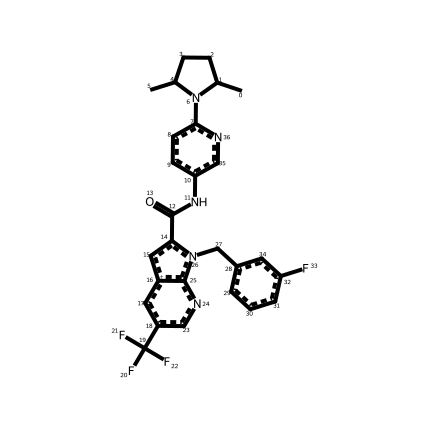 CC1CCC(C)N1c1ccc(NC(=O)c2cc3cc(C(F)(F)F)cnc3n2Cc2cccc(F)c2)cn1